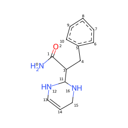 NC(=O)C(Cc1ccccc1)C1NC=CCN1